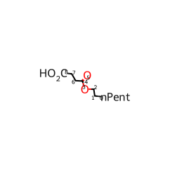 CCCCCCCOC(=O)CCC(=O)O